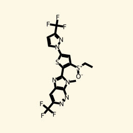 CC[S+]([O-])c1cc(-n2ccc(C(F)(F)F)n2)sc1-c1nc2cc(C(F)(F)F)nnc2n1C